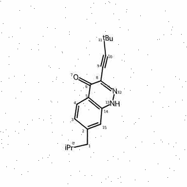 CC(C)Cc1ccc2c(=O)c(C#CC(C)(C)C)n[nH]c2c1